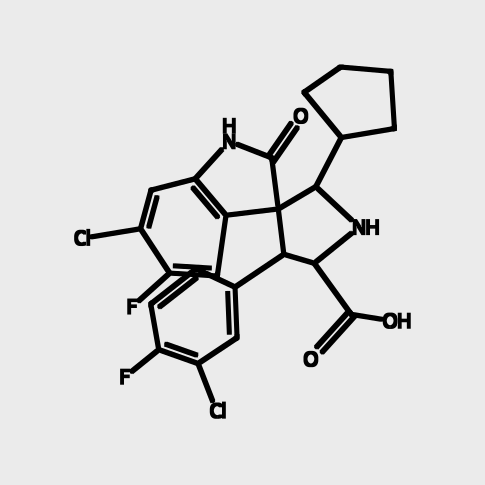 O=C(O)C1NC(C2CCCC2)C2(C(=O)Nc3cc(Cl)c(F)cc32)C1c1ccc(F)c(Cl)c1